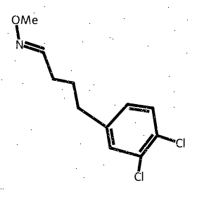 CON=CCCCc1ccc(Cl)c(Cl)c1